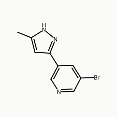 Cc1cc(-c2cncc(Br)c2)n[nH]1